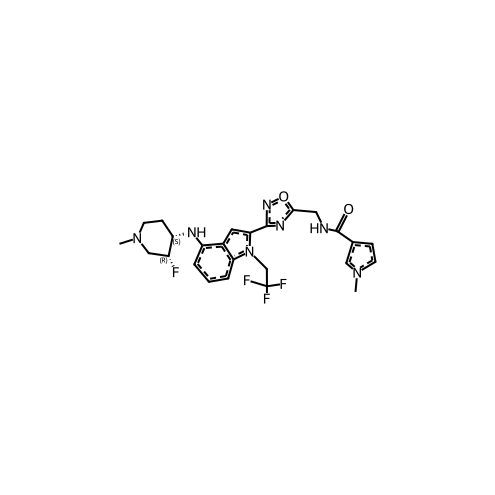 CN1CC[C@H](Nc2cccc3c2cc(-c2noc(CNC(=O)c4ccn(C)c4)n2)n3CC(F)(F)F)[C@H](F)C1